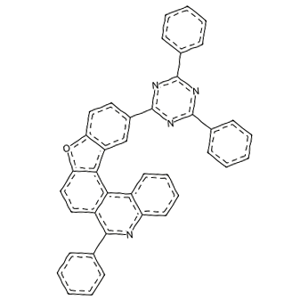 c1ccc(-c2nc(-c3ccccc3)nc(-c3ccc4oc5ccc6c(-c7ccccc7)nc7ccccc7c6c5c4c3)n2)cc1